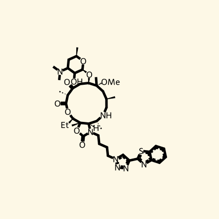 CC[C@H]1OC(=O)[C@H](C)C(=O)C[C@@H](O[C@@H]2O[C@H](C)CC(N(C)C)C2O)[C@](C)(OC)C[C@@H](C)CN[C@H](C)[C@H]2N(CCCCn3cc(-c4nc5ccccc5s4)nn3)C(=O)O[C@]12C